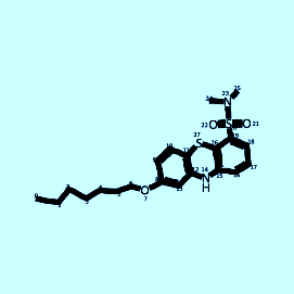 CCCCCCCOc1ccc2c(c1)Nc1cccc(S(=O)(=O)N(C)C)c1S2